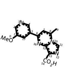 COc1cncc(-c2cc(C)n3cnc(C(=O)O)c3n2)c1